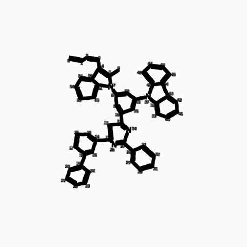 C=C/C=C\c1c(C)n(-c2cc(-c3cc(-c4cccc(-c5ccccc5)c4)nc(-c4ccccc4)n3)cc(-n3c4ccccc4c4ccccc43)c2)c2ccccc12